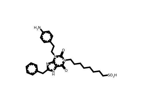 Nc1ccc(CCn2c(=O)n(CCCCCCCCS(=O)(=O)O)c(=O)c3[nH]c(Cc4ccccc4)nc32)cc1